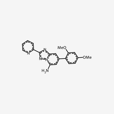 COc1ccc(-c2cc(N)n3nc(-c4ccccn4)nc3c2)c(OC)c1